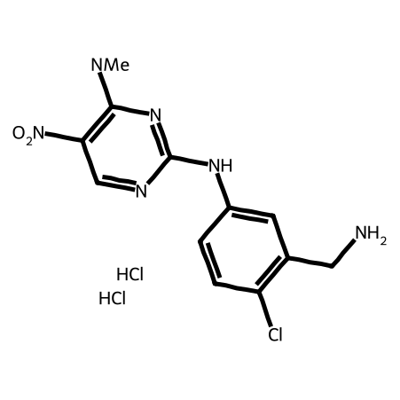 CNc1nc(Nc2ccc(Cl)c(CN)c2)ncc1[N+](=O)[O-].Cl.Cl